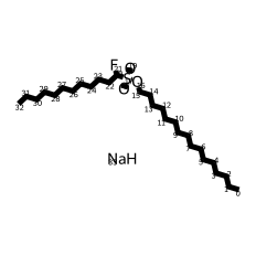 CCCCCCCCCCCCCCCCOS(=O)(=O)C(F)CCCCCCCCCCC.[NaH]